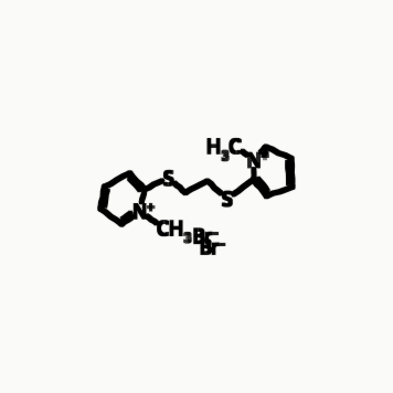 C[n+]1ccccc1SCCSc1cccc[n+]1C.[Br-].[Br-]